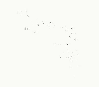 C=CCOC(=O)[C@H](Cc1ccccc1)NC(=O)[C@H](C)[C@@H](OC)[C@@H]1CCCN1C(=O)C[C@@H](OC)[C@H]([C@@H](C)CC)N(C)C(=O)[C@@H](NC(=C)[C@H](C(C)C)N(C)C(=O)OCc1ccc(NC(=O)[C@H](CCCNC(N)=O)NC(=O)[C@@H](N)C(C)C)cc1)C(C)C